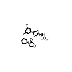 O=C(O)Nc1cnc(-c2cc(F)cc(F)c2)cn1.O=C1COCCN1C1CCCCC1